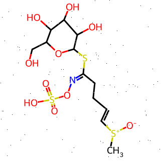 C[S+]([O-])C=CCCC(=NOS(=O)(=O)O)SC1OC(CO)C(O)C(O)C1O